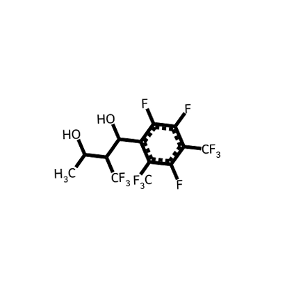 CC(O)C(C(O)c1c(F)c(F)c(C(F)(F)F)c(F)c1C(F)(F)F)C(F)(F)F